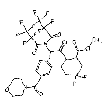 COC(=O)C1CC(F)(F)CCC1C(=O)C(c1ccc(C(=O)N2CCOCC2)cc1)N(C(=O)C(F)(F)C(F)(F)F)C(=O)C(F)(F)C(F)(F)F